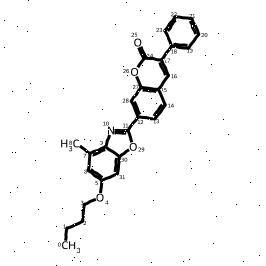 CCCCOc1cc(C)c2nc(-c3ccc4cc(-c5ccccc5)c(=O)oc4c3)oc2c1